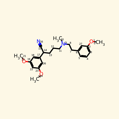 COc1cccc(CCN(C)CCCC(C#N)c2cc(OC)cc(OC)c2)c1